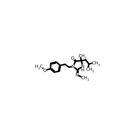 C/N=C1\NC(C)(CC(C)C)C(=O)N1CCc1ccc(OC)cc1